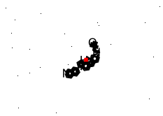 CN(CC1(C)COC1)[C@@H]1CCC2=CC3=CC[C@]4(C)[C@@H](c5ccc6ccncc6c5)CC[C@H]4[C@@]34CC[C@]2(C1)O4